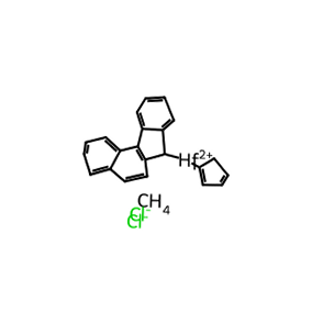 C.C1=CC[C]([Hf+2][CH]2c3ccccc3-c3c2ccc2ccccc32)=C1.[Cl-].[Cl-]